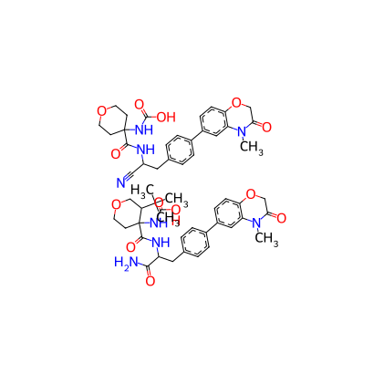 CN1C(=O)COc2ccc(-c3ccc(CC(C#N)NC(=O)C4(NC(=O)O)CCOCC4)cc3)cc21.CN1C(=O)COc2ccc(-c3ccc(CC(NC(=O)C4(NC(=O)O)CCOCC4C(C)(C)C)C(N)=O)cc3)cc21